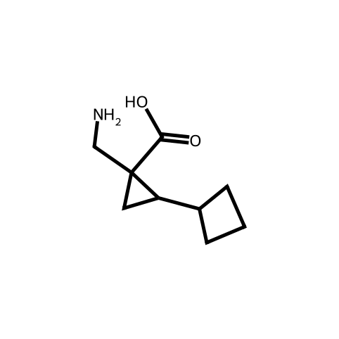 NCC1(C(=O)O)CC1C1CCC1